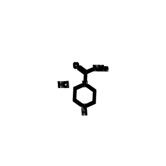 CNC(=O)N1CCNCC1.Cl